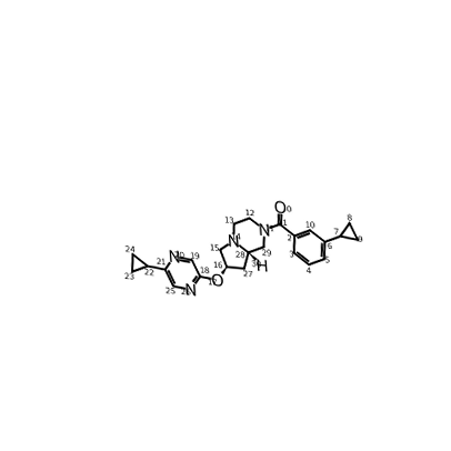 O=C(c1cccc(C2CC2)c1)N1CCN2C[C@H](Oc3cnc(C4CC4)cn3)C[C@H]2C1